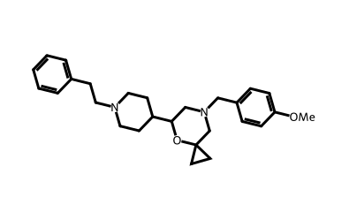 COc1ccc(CN2CC(C3CCN(CCc4ccccc4)CC3)OC3(CC3)C2)cc1